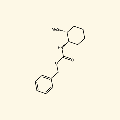 CS[C@@H]1CCCC[C@H]1NC(=O)OCc1ccccc1